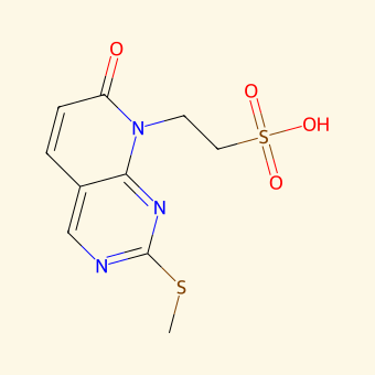 CSc1ncc2ccc(=O)n(CCS(=O)(=O)O)c2n1